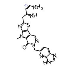 Cn1c2nc(CC(=N)/C=C\N)sc2c2cnn(Cc3ccc4nc[nH]c4n3)c(=O)c21